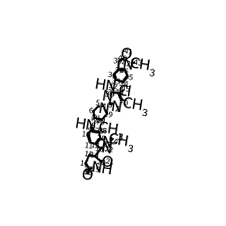 Cc1nc(N2CC[C@@H](Nc3ccc4c(C5CCC(=O)NC5=O)nn(C)c4c3)[C@H](C)C2)nc(Nc2ccc3c(c2)CC(=O)N3C)c1Cl